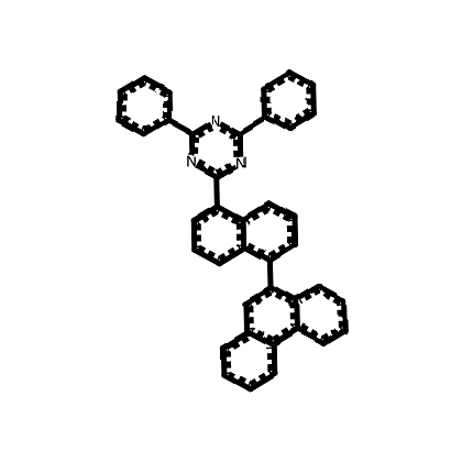 c1ccc(-c2nc(-c3ccccc3)nc(-c3cccc4c(-c5cc6ccccc6c6ccccc56)cccc34)n2)cc1